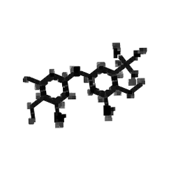 CCc1c(C)cc(Sc2cc(Br)c(CC)c(C(F)(F)F)c2)cc1Br